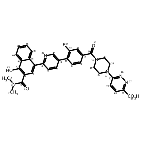 CN(C)C(=O)c1cc(-c2ccc(-c3ccc(C(=O)N4CCN(c5ccc(C(=O)O)nn5)CC4)cc3F)cn2)c2ccccc2c1O